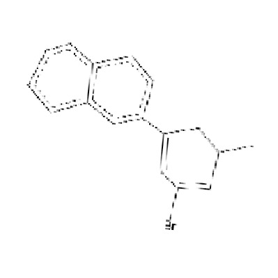 CC1C=C(Br)C=C(c2ccc3ccccc3c2)C1